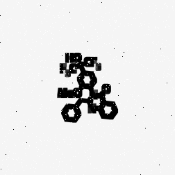 COc1cc(C(O)(C(F)(F)F)C(F)(F)F)ccc1-n1c(Cc2ccccc2)nc2ccccc2c1=O